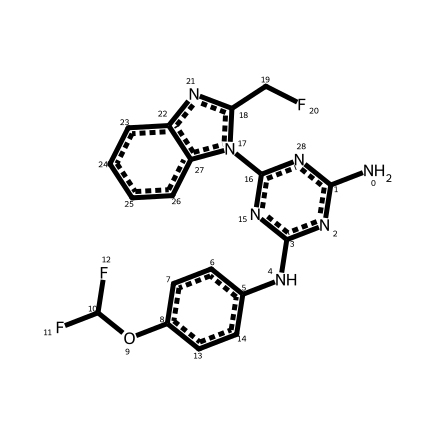 Nc1nc(Nc2ccc(OC(F)F)cc2)nc(-n2c(CF)nc3ccccc32)n1